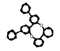 c1ccc(-c2ccc3c(c2)Oc2ccccc2-c2ccccc2Oc2ccc(-c4ccccc4)cc2-3)cc1